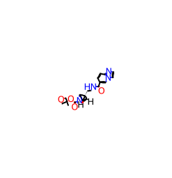 CC1(OC(=O)N2C[C@@H]3[C@@H]4C2[C@@]34CCNC(=O)c2ccc3nccn3c2)COC1